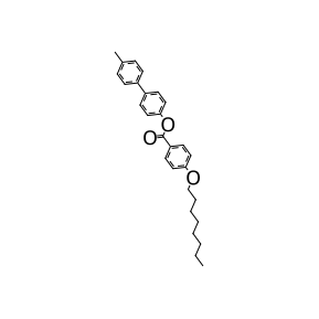 CCCCCCCCOc1ccc(C(=O)Oc2ccc(-c3ccc(C)cc3)cc2)cc1